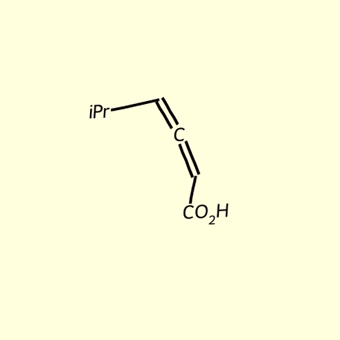 CC(C)C=C=CC(=O)O